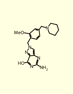 COc1cc(CN2CCCCC2)ccc1Cn1cc2nc(N)nc(O)c2n1